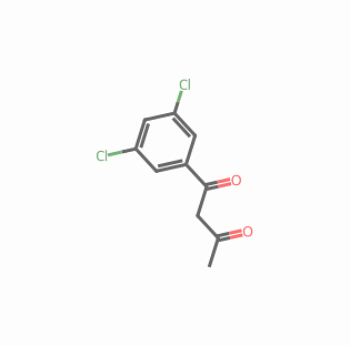 CC(=O)CC(=O)c1cc(Cl)cc(Cl)c1